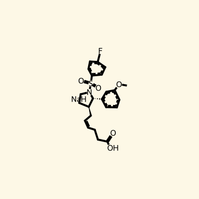 COc1cccc([C@@H]2[C@@H](C/C=C\CCC(=O)O)CCN2S(=O)(=O)c2ccc(F)cc2)c1.[NaH]